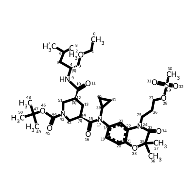 CCOC[C@@H](CC(C)C)NC(=O)[C@H]1C[C@@H](C(=O)N(c2ccc3c(c2)N(CCCOS(C)(=O)=O)C(=O)C(C)(C)O3)C2CC2)CN(C(=O)OC(C)(C)C)C1